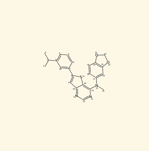 CC(C)c1cccc(-c2cc3ncnc(N(C)c4ccc5c(c4)OCO5)c3s2)c1